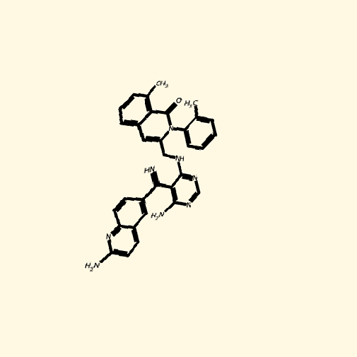 Cc1ccccc1-n1c(CNc2ncnc(N)c2C(=N)c2ccc3nc(N)ccc3c2)cc2cccc(C)c2c1=O